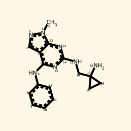 Cn1ncc2c(Nc3ccccc3)nc(NCC3(N)CC3)nc21